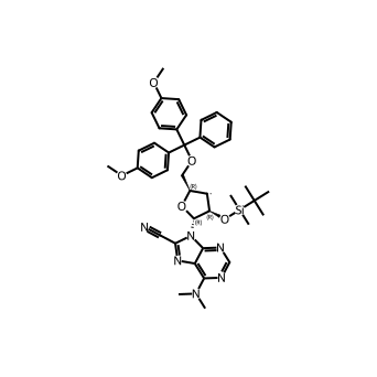 COc1ccc(C(OC[C@H]2[CH][C@@H](O[Si](C)(C)C(C)(C)C)[C@H](n3c(C#N)nc4c(N(C)C)ncnc43)O2)(c2ccccc2)c2ccc(OC)cc2)cc1